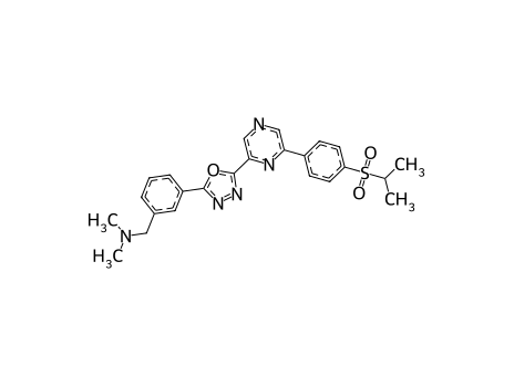 CC(C)S(=O)(=O)c1ccc(-c2cncc(-c3nnc(-c4cccc(CN(C)C)c4)o3)n2)cc1